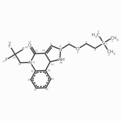 C[Si](C)(C)CCOCN1C=C2C(=O)N(CC(F)(F)F)c3ccccc3C2N1